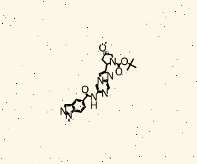 CO[C@H]1CC(c2cn3cc(NC(=O)c4ccc5c(cnn5C)c4)ncc3n2)N(C(=O)OC(C)(C)C)C1